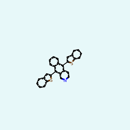 c1ccc2sc(-c3c4ccccc4c(-c4cc5ccccc5s4)c4cnccc34)cc2c1